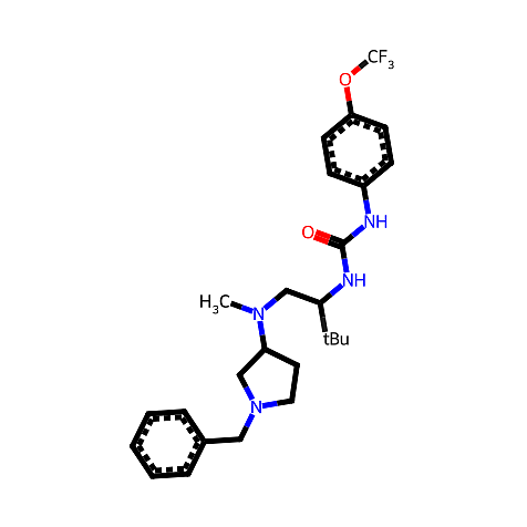 CN(CC(NC(=O)Nc1ccc(OC(F)(F)F)cc1)C(C)(C)C)C1CCN(Cc2ccccc2)C1